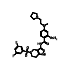 CN(CCN1CCCC1)c1ccc(C(=O)Nc2n[nH]c3c2CN(S(=O)(=O)c2cc(F)cc(F)c2)CC3)c([AsH2])c1